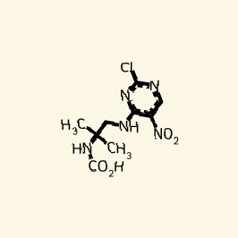 CC(C)(CNc1nc(Cl)ncc1[N+](=O)[O-])NC(=O)O